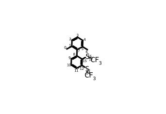 Cc1cccc(C)c1-c1cc[c]c(SC(F)(F)F)c1SC(F)(F)F